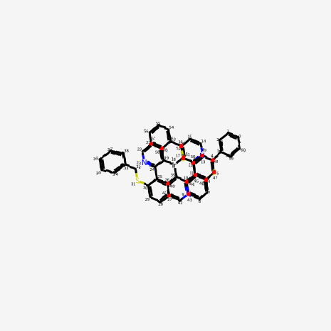 c1ccc(CSc2ccccc2-c2nccc[c]2[Ir]([c]2cccnc2-c2ccccc2SCc2ccccc2)[c]2cccnc2-c2ccccc2SCc2ccccc2)cc1